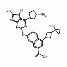 C=C(O)c1cc(C2CC(C3(N)CC3)C2)c2ccc(Sc3nc(N4CC[C@H](N)C4)c4c(Cl)c(CC)[nH]c4n3)cc2n1